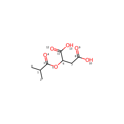 CC(C)C(=O)OC(CC(=O)O)C(=O)O